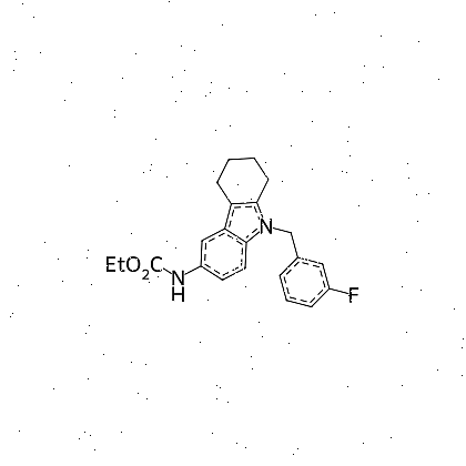 CCOC(=O)Nc1ccc2c(c1)c1c(n2Cc2cccc(F)c2)CCCC1